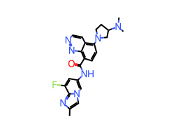 Cc1cn2cc(NC(=O)c3ccc(N4CCC(N(C)C)C4)c4ccnnc34)cc(F)c2n1